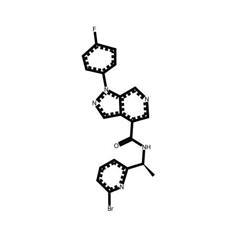 C[C@H](NC(=O)c1cncc2c1cnn2-c1ccc(F)cc1)c1cccc(Br)n1